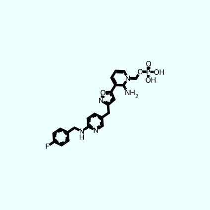 NC1C(c2cc(Cc3ccc(NCc4ccc(F)cc4)nc3)no2)=CC=CN1COP(=O)(O)O